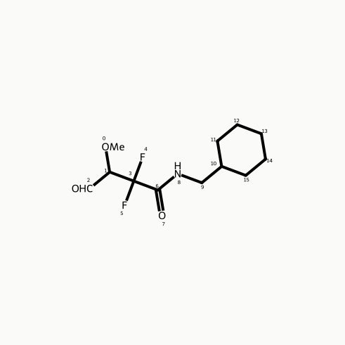 COC(C=O)C(F)(F)C(=O)NCC1CCCCC1